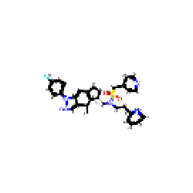 C[C@H]1C2=CNN(c3ccc(F)cc3)C2=CC2=C1[C@@H](CN(CCc1ccccn1)S(=O)(=O)Cc1ccncc1)CC2